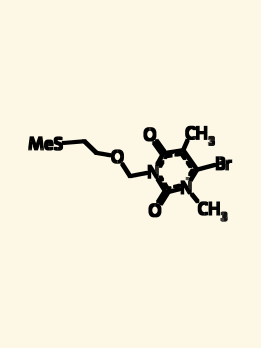 CSCCOCn1c(=O)c(C)c(Br)n(C)c1=O